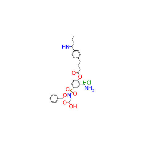 CCCC(=N)c1ccc(CCCC(=O)Oc2ccc(S(=O)(=O)N(CC(=O)O)OCc3ccccc3)cc2CN)cc1.Cl